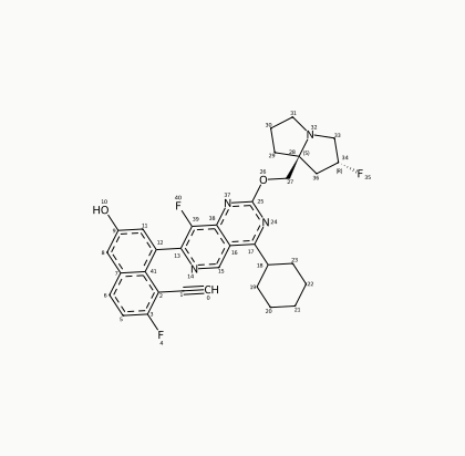 C#Cc1c(F)ccc2cc(O)cc(-c3ncc4c(C5CCCCC5)nc(OC[C@@]56CCCN5C[C@H](F)C6)nc4c3F)c12